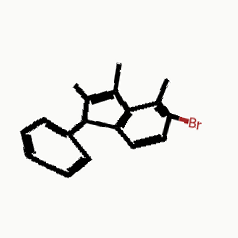 CC1=C(C)C(c2ccccc2)c2ccc(Br)c(C)c21